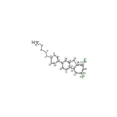 CCCCCc1ccc(-c2ccc3c(c2)Cc2c(F)cc(F)cc2-3)cc1